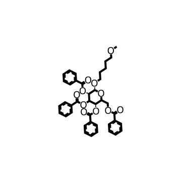 COCCCCCO[C@@H]1OC(COC(=O)c2ccccc2)[C@H](OC(=O)c2ccccc2)C(OC(=O)c2ccccc2)[C@@H]1OC(=O)c1ccccc1